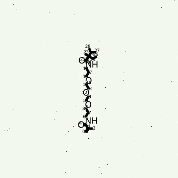 C=C(C)C(=O)NCCCOCCOCCOCCCNC(=O)C(C)(CC)C(C)C